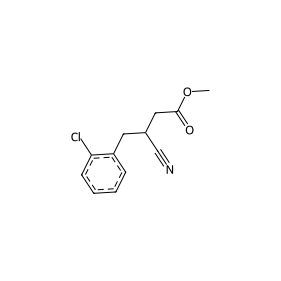 COC(=O)CC(C#N)Cc1ccccc1Cl